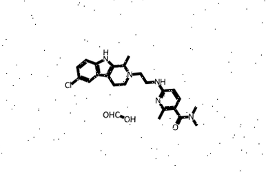 Cc1nc(NCCN2CCc3c([nH]c4ccc(Cl)cc34)C2C)ccc1C(=O)N(C)C.O=CO